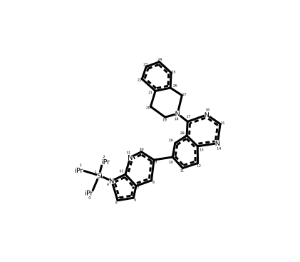 CC(C)[Si](C(C)C)(C(C)C)n1ccc2cc(-c3ccc4ncnc(N5CCc6ccccc6C5)c4c3)cnc21